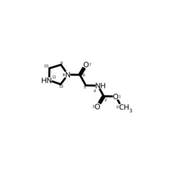 COC(=O)NCC(=O)N1CCNC1